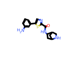 Nc1cccc(-c2cnc(C(=O)NC3CC4CC3CN4)s2)c1